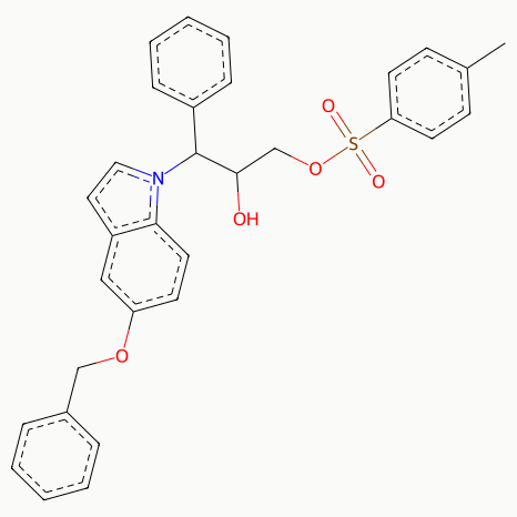 Cc1ccc(S(=O)(=O)OCC(O)C(c2ccccc2)n2ccc3cc(OCc4ccccc4)ccc32)cc1